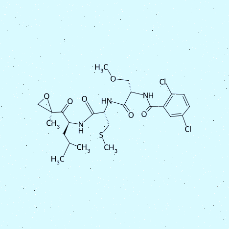 COC[C@H](NC(=O)c1cc(Cl)ccc1Cl)C(=O)N[C@H](CSC)C(=O)N[C@@H](CC(C)C)C(=O)[C@@]1(C)CO1